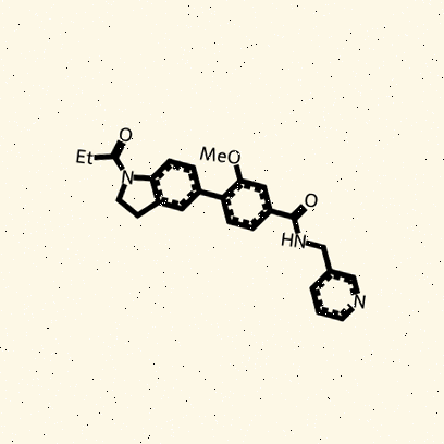 CCC(=O)N1CCc2cc(-c3ccc(C(=O)NCc4cccnc4)cc3OC)ccc21